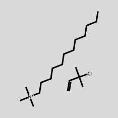 C=CC(C)(C)Cl.CCCCCCCCCCCC[N+](C)(C)C